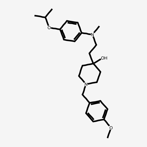 COc1ccc(CN2CCC(O)(CCN(C)c3ccc(OC(C)C)cc3)CC2)cc1